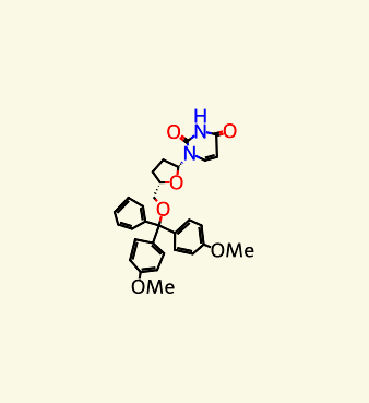 COc1ccc(C(OC[C@@H]2CC[C@H](n3ccc(=O)[nH]c3=O)O2)(c2ccccc2)c2ccc(OC)cc2)cc1